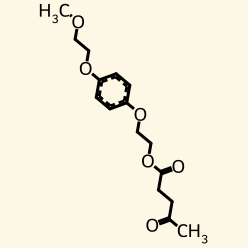 COCCOc1ccc(OCCOC(=O)CCC(C)=O)cc1